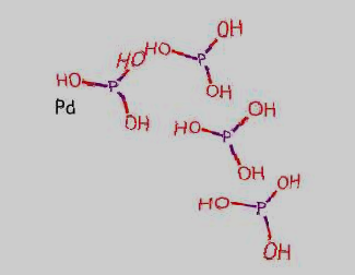 OP(O)O.OP(O)O.OP(O)O.OP(O)O.[Pd]